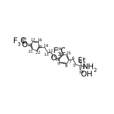 CCC(N)(CO)CCc1ccc(OCCCc2ccc(OC(F)(F)F)cc2)c(C(F)(F)F)c1